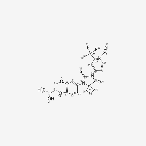 C[C@@H](O)[C@@H]1COc2cc(N3C(=S)N(c4ccc(C#N)c(C(F)(F)F)c4)C(=O)C34CCC4)ccc2O1